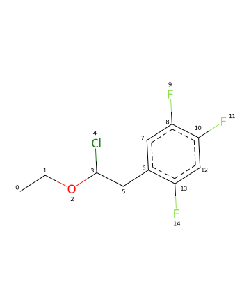 CCOC(Cl)Cc1cc(F)c(F)cc1F